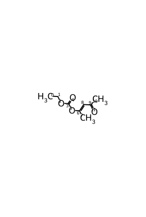 CCOC(=O)OC(C)=CC(C)=O